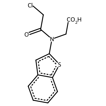 O=C(O)CN(C(=O)CCl)c1cc2ccccc2s1